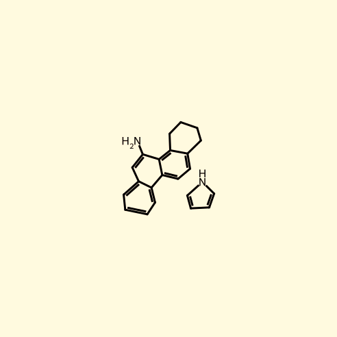 Nc1cc2ccccc2c2ccc3c(c12)CCCC3.c1cc[nH]c1